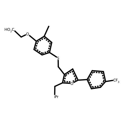 Cc1cc(SCc2cc(-c3ccc(C(F)(F)F)cc3)oc2CC(C)C)ccc1OCC(=O)O